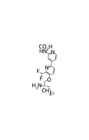 C[C@](N)(COc1ccc(-c2ccnc(NC(=O)O)c2)nc1C(F)F)CC1CC1